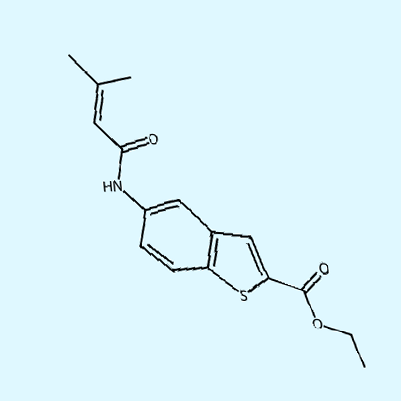 CCOC(=O)c1cc2cc(NC(=O)C=C(C)C)ccc2s1